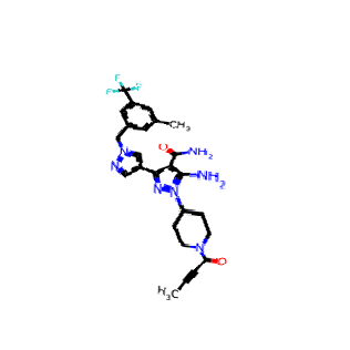 CC#CC(=O)N1CCC(n2nc(-c3cnn(Cc4cc(C)cc(C(F)(F)F)c4)c3)c(C(N)=O)c2N)CC1